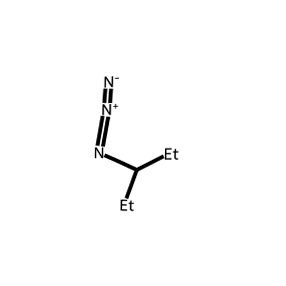 CCC(CC)N=[N+]=[N-]